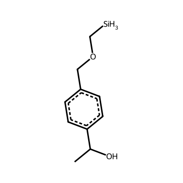 CC(O)c1ccc(COC[SiH3])cc1